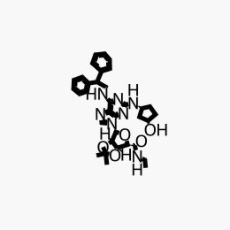 CCNC(=O)[C@H]1O[C@@H](n2cnc3c(NCC(c4ccccc4)c4ccccc4)nc(N[C@@H]4CC[C@@H](O)C4)nc32)[C@@H]2OC(C)(C)O[C@@H]21